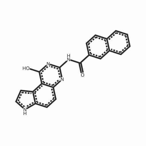 O=C(Nc1nc(O)c2c(ccc3[nH]ccc32)n1)c1ccc2ccccc2c1